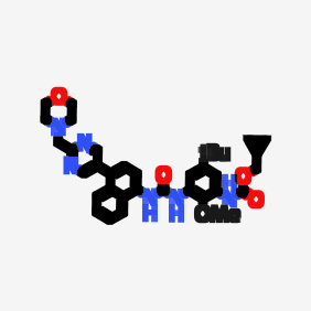 COc1c(NC(=O)Nc2ccc(-c3cnc(CN4CCOCC4)nc3)c3ccccc23)cc(C(C)(C)C)cc1NC(=O)OCC1CC1